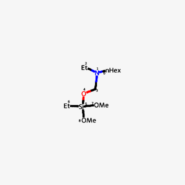 CCCCCCN(CC)CO[Si](CC)(OC)OC